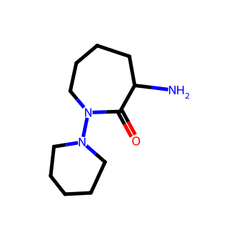 NC1CCCCN(N2CCCCC2)C1=O